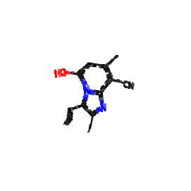 C=Cc1c(C)nc2c(C#N)c(C)cc(O)n12